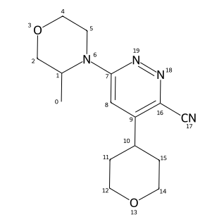 CC1COCCN1c1cc(C2CCOCC2)c(C#N)nn1